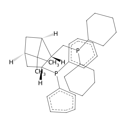 CC1(C)[C@H]2C[C@@H](P(c3ccccc3)c3ccccc3)[C@@H](CP(C3CCCCC3)C3CCCCC3)[C@@H]1C2